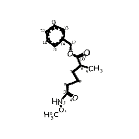 CONC(=O)CCCC(C)C(=O)OCc1ccccc1